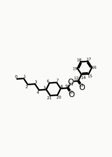 CCCCCC1CCC(C(=O)OC(=O)c2ccccc2)CC1